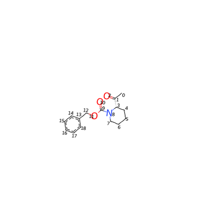 CC(=O)[C@@H]1CCCCN1C(=O)OCc1ccccc1